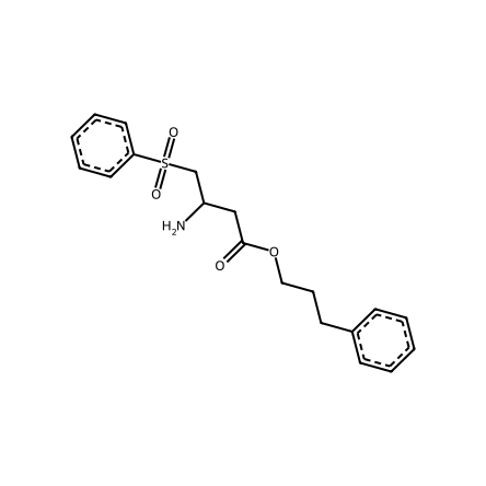 NC(CC(=O)OCCCc1ccccc1)CS(=O)(=O)c1ccccc1